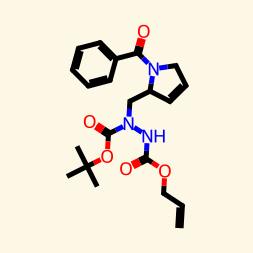 C=CCOC(=O)NN(CC1C=CCN1C(=O)c1ccccc1)C(=O)OC(C)(C)C